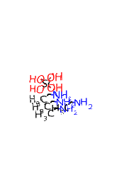 CCN.CCN.CCN.CCN.O[Si](O)(O)O